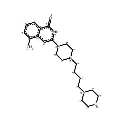 Cc1cccc2c(=O)[nH]c(N3CCN(CCCCN4CCOCC4)CC3)cc12